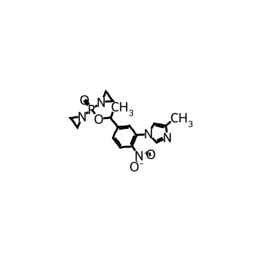 Cc1cn(-c2cc(C(C)OP(=O)(N3CC3)N3CC3)ccc2[N+](=O)[O-])cn1